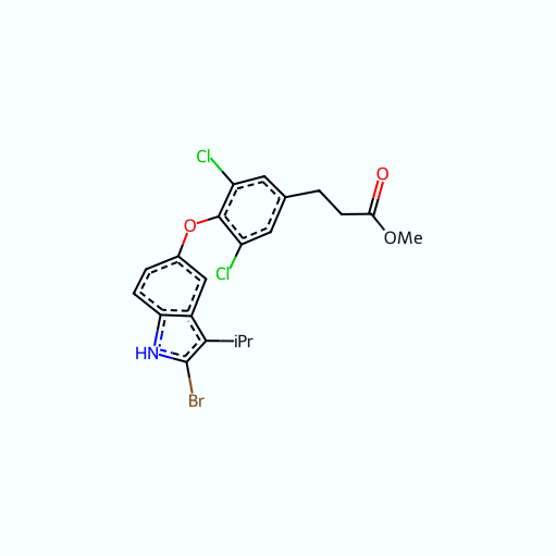 COC(=O)CCc1cc(Cl)c(Oc2ccc3[nH]c(Br)c(C(C)C)c3c2)c(Cl)c1